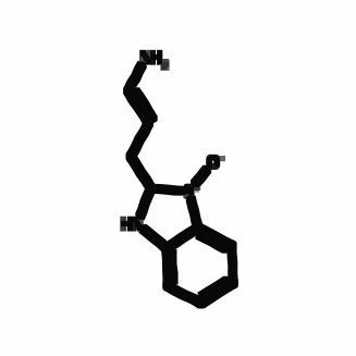 NC=CCC1Nc2ccccc2[S+]1[O-]